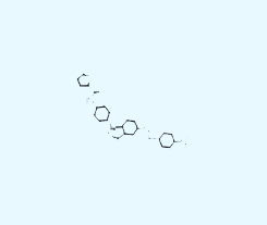 CN(C)c1ccc(C(=O)Nc2ccc3c(cnn3-c3ccc(NC(=O)c4cccs4)cc3)c2)cc1